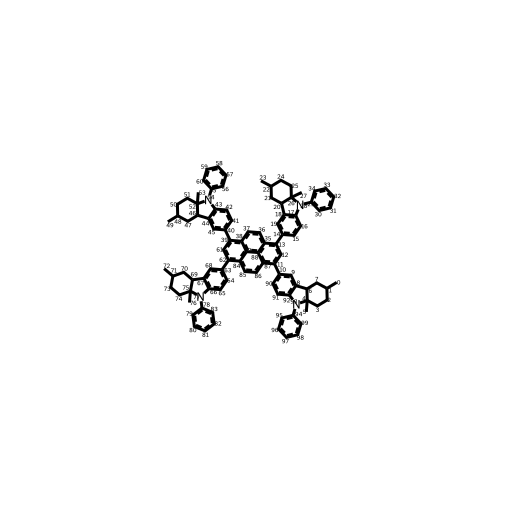 CC1CCC2(C)C(C1)c1cc(-c3cc(-c4ccc5c(c4)C4CC(C)CCC4(C)N5c4ccccc4)c4ccc5c(-c6ccc7c(c6)C6CC(C)CCC6(C)N7c6ccccc6)cc(-c6ccc7c(c6)C6CC(C)CCC6(C)N7c6ccccc6)c6ccc3c4c65)ccc1N2c1ccccc1